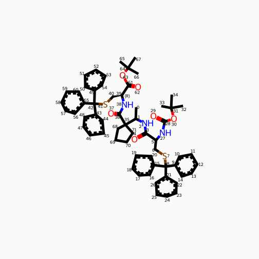 CC(NC(=O)C(CSC(c1ccccc1)(c1ccccc1)c1ccccc1)NC(=O)OC(C)(C)C)C1(C(=O)N[C@@H](CSC(c2ccccc2)(c2ccccc2)c2ccccc2)C(=O)OC(C)(C)C)CCCC1